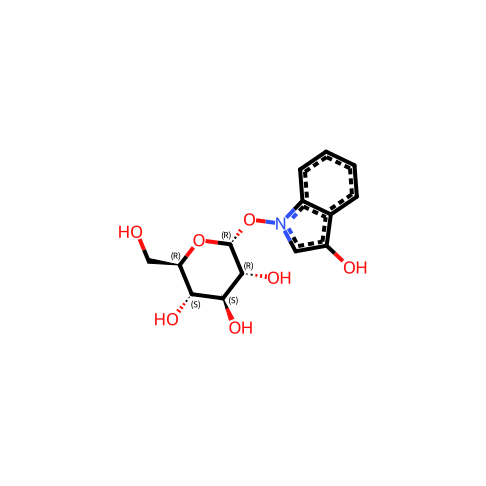 OC[C@H]1O[C@H](On2cc(O)c3ccccc32)[C@H](O)[C@@H](O)[C@@H]1O